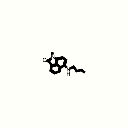 CCCCNc1ccc2c3c(cccc13)C(=O)N2C